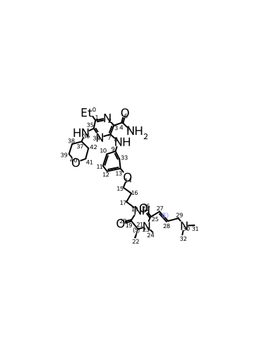 CCc1nc(C(N)=O)c(Nc2cccc(OCCCNC(=O)[C@H](C)N(C)C(=O)/C=C/CN(C)C)c2)nc1NC1CCOCC1